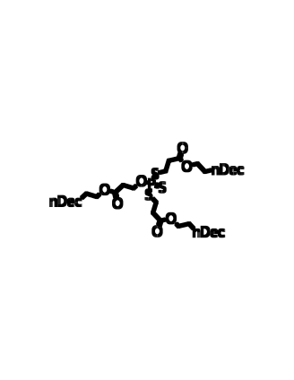 CCCCCCCCCCCCOC(=O)CCOP(=S)(SCCC(=O)OCCCCCCCCCCCC)SCCC(=O)OCCCCCCCCCCCC